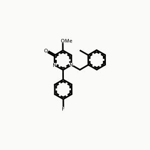 COc1cn(Cc2ccccc2C)c(-c2ccc(F)cc2)nc1=O